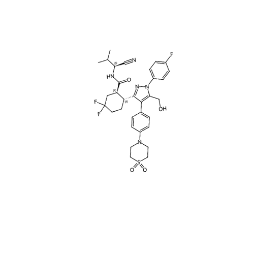 CC(C)[C@@H](C#N)NC(=O)[C@@H]1CC(F)(F)CC[C@H]1c1nn(-c2ccc(F)cc2)c(CO)c1-c1ccc(N2CCS(=O)(=O)CC2)cc1